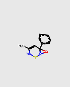 CC1=CC2(c3ccccc3)ON2SN1